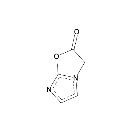 O=C1Cn2ccnc2O1